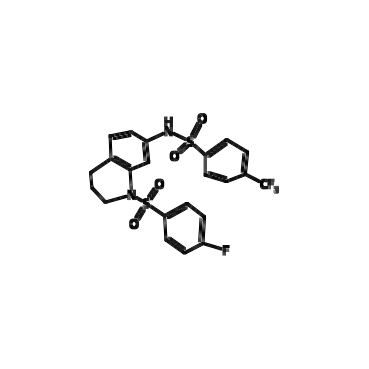 O=S(=O)(Nc1ccc2c(c1)N(S(=O)(=O)c1ccc(F)cc1)CCC2)c1ccc(C(F)(F)F)cc1